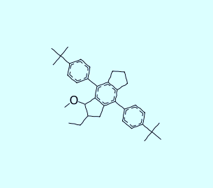 CCC1Cc2c(-c3ccc(C(C)(C)C)cc3)c3c(c(-c4ccc(C(C)(C)C)cc4)c2C1OC)CCC3